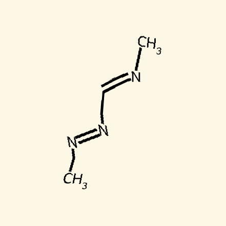 CN=CN=NC